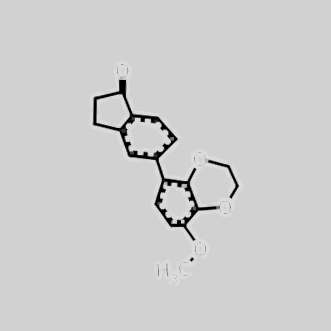 COc1ccc(-c2ccc3c(c2)CCC3=O)c2c1OCCO2